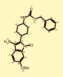 CCn1c(C2CCC(NC(=O)OCc3ccccc3)CC2)c(N)c2ccc(OC)cc21